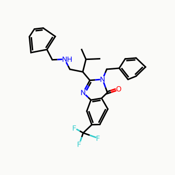 CC(C)C(CNCc1ccccc1)c1nc2cc(C(F)(F)F)ccc2c(=O)n1Cc1ccccc1